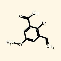 C=Cc1cc(OC)cc(C(=O)O)c1Br